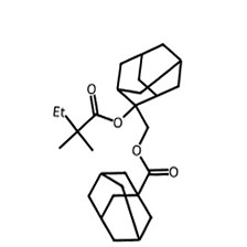 CCC(C)(C)C(=O)OC1(COC(=O)C23CC4CC(CC(C4)C2)C3)C2CC3CC(C2)CC1C3